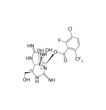 N=C1NC2[C@H](CO)NC(=N)N3C[C@H](OC(=O)c4c(C(F)(F)F)ccc(Cl)c4F)C(O)(O)[C@]23N1